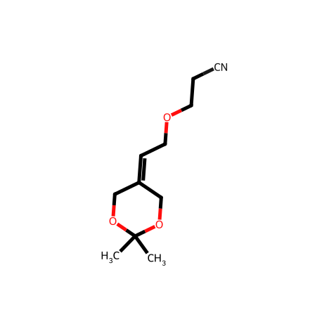 CC1(C)OCC(=CCOCCC#N)CO1